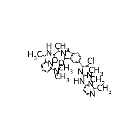 C=N/C(=N\C(=C(/C)Cl)c1ccc2c(c1)C(=O)N([C@H](C)C(=O)N[C@H](C)c1cccc(N(C)C)n1)C2)Nc1ccnc(C)n1